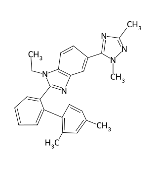 CCn1c(-c2ccccc2-c2ccc(C)cc2C)nc2cc(-c3nc(C)nn3C)ccc21